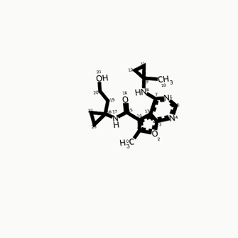 Cc1oc2ncnc(NC3(C)CC3)c2c1C(=O)NC1(CCO)CC1